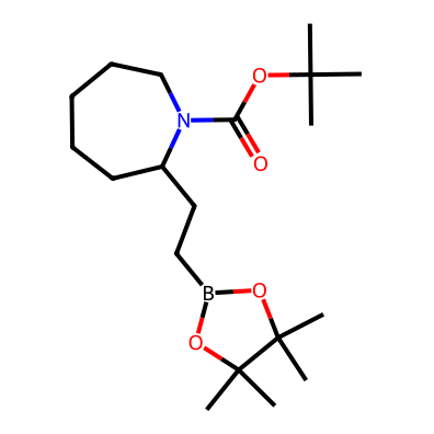 CC(C)(C)OC(=O)N1CCCCCC1CCB1OC(C)(C)C(C)(C)O1